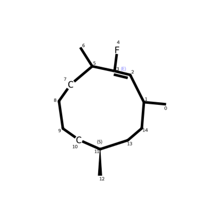 CC1/C=C(/F)C(C)CCCC[C@H](C)CC1